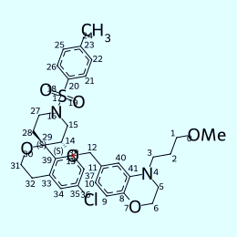 COCCCN1CCOc2ccc(CO[C@H]3CN(S(=O)(=O)c4ccc(C)cc4)CC[C@@]34OCCc3cc(Cl)ccc34)cc21